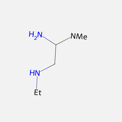 CCNCC(N)NC